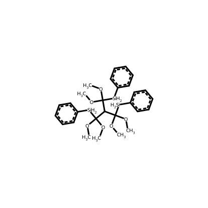 COC(OC)([SiH2]c1ccccc1)C(C(OC)(OC)[SiH2]c1ccccc1)C(OC)(OC)[SiH2]c1ccccc1